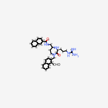 N=C(N)NCCC[C@@H]1NC(CNC(=O)c2ccc3ccccc3c2)CCN(Cc2ccc3ccccc3c2C=O)C1=O